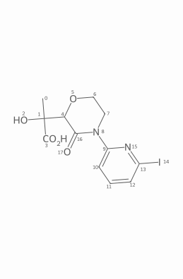 CC(O)(C(=O)O)C1OCCN(c2cccc(I)n2)C1=O